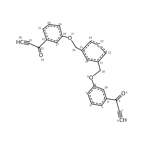 C#CC(=O)c1cccc(OCc2cccc(COc3cccc(C(=O)C#C)c3)c2)c1